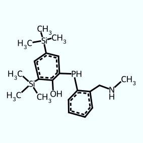 CNCc1ccccc1Pc1cc([Si](C)(C)C)cc([Si](C)(C)C)c1O